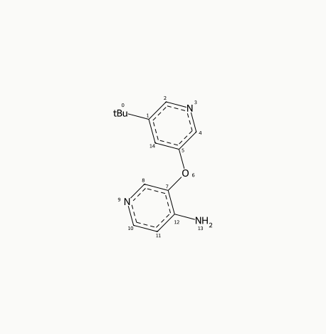 CC(C)(C)c1cncc(Oc2cnccc2N)c1